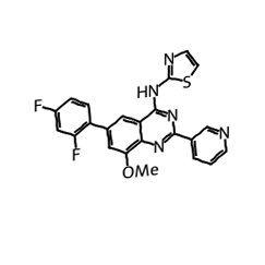 COc1cc(-c2ccc(F)cc2F)cc2c(Nc3nccs3)nc(-c3cccnc3)nc12